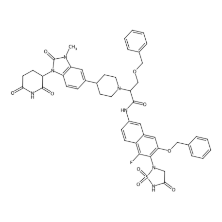 Cn1c(=O)n(C2CCC(=O)NC2=O)c2ccc(C3CCN(C(COCc4ccccc4)C(=O)Nc4ccc5c(F)c(N6CC(=O)NS6(=O)=O)c(OCc6ccccc6)cc5c4)CC3)cc21